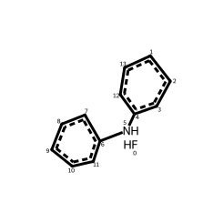 F.c1ccc(Nc2ccccc2)cc1